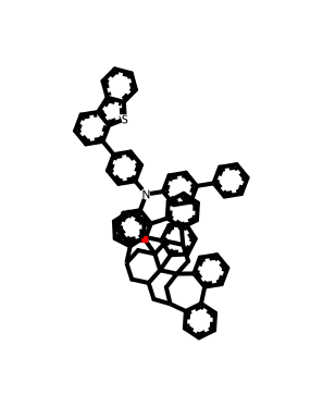 c1ccc(-c2ccc(N(c3ccc(-c4cccc5c4sc4ccccc45)cc3)c3cccc4c3-c3ccccc3C3CC56CC(CC7CC8CC4(C3)C75c3ccccc3-c3ccccc38)c3ccccc3-c3ccccc36)cc2)cc1